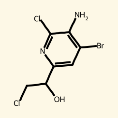 Nc1c(Br)cc(C(O)CCl)nc1Cl